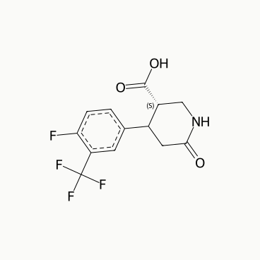 O=C1CC(c2ccc(F)c(C(F)(F)F)c2)[C@H](C(=O)O)CN1